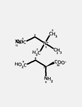 C[N+](C)(C)CC(=O)[O-].N[C@@H](CC(=O)O)C(=O)[O-].[Na+]